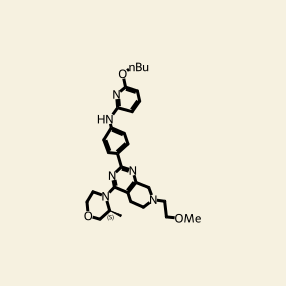 CCCCOc1cccc(Nc2ccc(-c3nc4c(c(N5CCOC[C@@H]5C)n3)CCN(CCOC)C4)cc2)n1